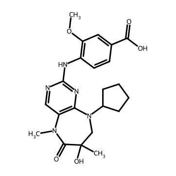 COc1cc(C(=O)O)ccc1Nc1ncc2c(n1)N(C1CCCC1)CC(C)(O)C(=O)N2C